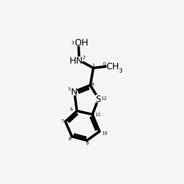 CC(NO)c1nc2ccccc2s1